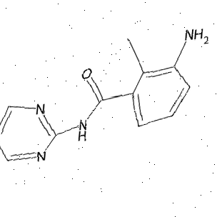 Cc1c(N)cccc1C(=O)Nc1ncncn1